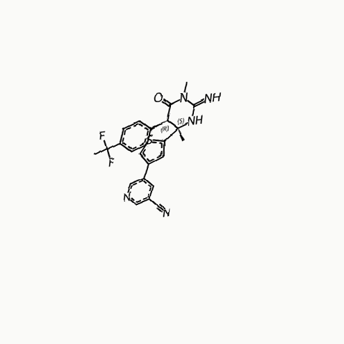 CN1C(=N)N[C@](C)(c2cc(-c3cncc(C#N)c3)cs2)[C@@H](c2ccc(C(C)(F)F)cc2)C1=O